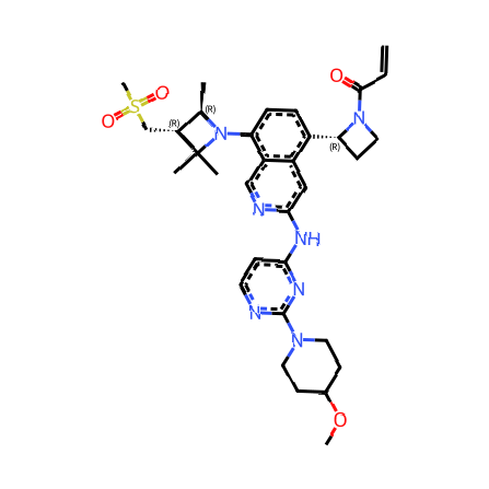 C=CC(=O)N1CC[C@@H]1c1ccc(N2[C@H](C)[C@@H](CS(C)(=O)=O)C2(C)C)c2cnc(Nc3ccnc(N4CCC(OC)CC4)n3)cc12